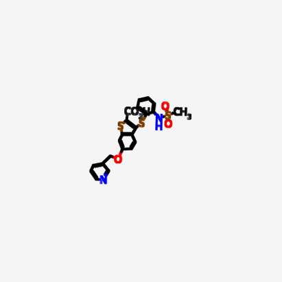 CS(=O)(=O)Nc1ccccc1Sc1c(C(=O)O)sc2cc(OCc3cccnc3)ccc12